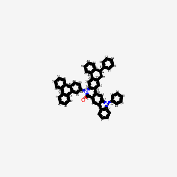 O=c1c2cc3c4ccccc4n(-c4ccccc4)c3cc2c2cc3c(cc2n1-c1ccc2c4ccccc4c4ccccc4c2c1)-c1ccccc1C(c1ccccc1)C3